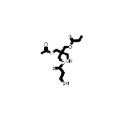 CCC(=O)OCC(CO)(COC(C)=O)COC(=O)CCS